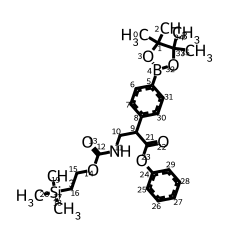 CC1(C)OB(c2ccc(C(CNC(=O)OCC[Si](C)(C)C)C(=O)Oc3ccccc3)cc2)OC1(C)C